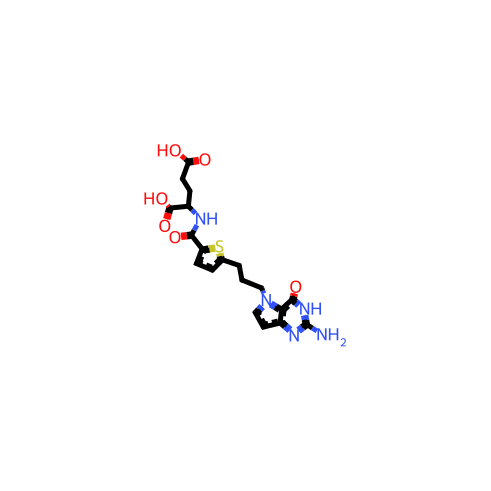 Nc1nc2ccn(CCCc3ccc(C(=O)NC(CCC(=O)O)C(=O)O)s3)c2c(=O)[nH]1